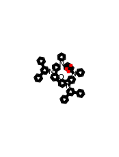 c1ccc(-c2cc(-c3ccccc3)cc(-n3c4ccc(N(c5ccccc5)c5ccccc5)cc4c4c5oc6c(ccc7c6c6cc(N(c8ccccc8)c8ccccc8)ccc6n7-c6cc(-c7ccccc7)cc(-c7ccccc7)c6)c5ccc43)c2)cc1